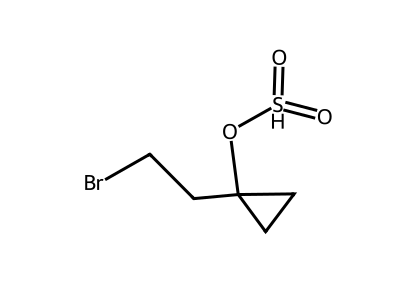 O=[SH](=O)OC1(CCBr)CC1